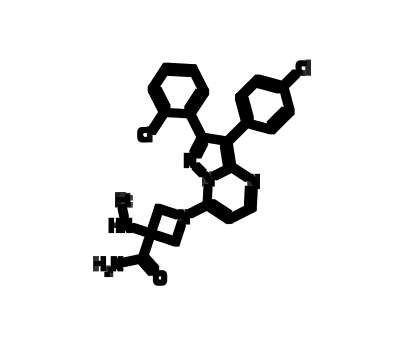 CCNC1(C(N)=O)CN(c2ccnc3c(-c4ccc(Cl)cc4)c(-c4ccccc4Cl)nn23)C1